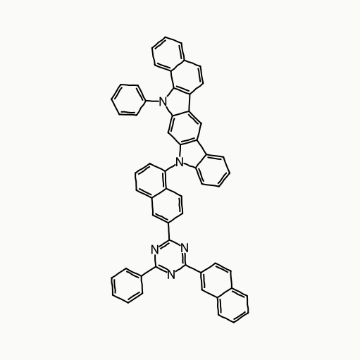 c1ccc(-c2nc(-c3ccc4ccccc4c3)nc(-c3ccc4c(-n5c6ccccc6c6cc7c8ccc9ccccc9c8n(-c8ccccc8)c7cc65)cccc4c3)n2)cc1